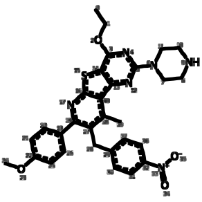 CCOc1nc(N2CCNCC2)nc2c1sc1nc(-c3ccc(OC)cc3)c(Cc3ccc([N+](=O)[O-])cc3)c(C)c12